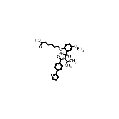 [2H]C([2H])(c1cc(OC)ccc1OCCCCCC(=O)O)N(C(=O)c1ccc(-c2ccco2)cc1)C(C)C